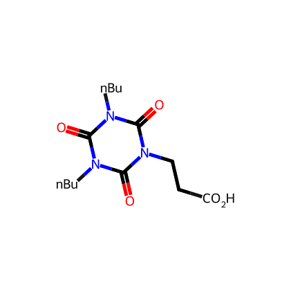 CCCCn1c(=O)n(CCCC)c(=O)n(CCC(=O)O)c1=O